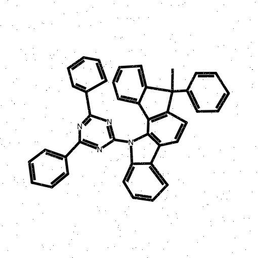 CC1(c2ccccc2)c2ccccc2-c2c1ccc1c3ccccc3n(-c3nc(-c4ccccc4)nc(-c4ccccc4)n3)c21